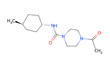 CC(=O)N1CCN(C(=O)N[C@H]2CC[C@H](C)CC2)CC1